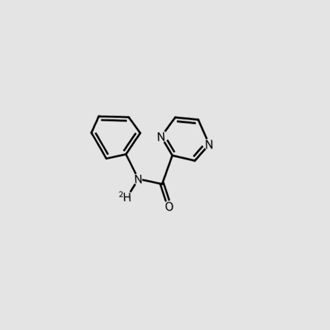 [2H]N(C(=O)c1cnccn1)c1ccccc1